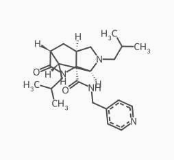 CC(C)C[C@H]1[C@@H]2N(CC(C)C)C[C@@H]3C[C@H]1C(=O)N[C@@]32C(=O)NCc1ccncc1